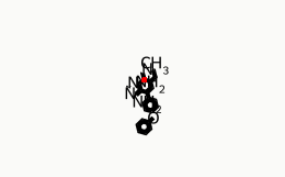 CN1CCC(/C=C(/c2ccc(Oc3ccccc3)cc2)c2c(N)ncnc2N)CC1